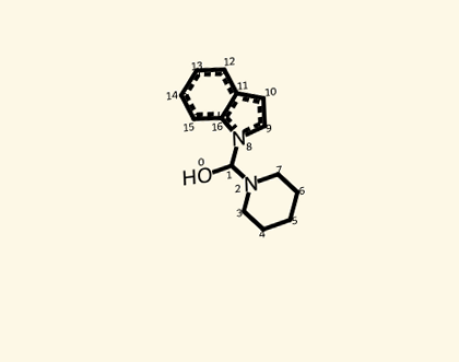 OC(N1CCCCC1)n1ccc2ccccc21